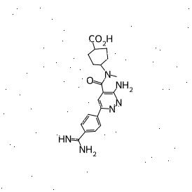 CN(C(=O)c1cc(-c2ccc(C(=N)N)cc2)nnc1N)C1CCC(C(=O)O)CC1